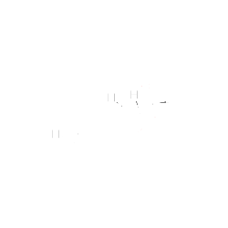 O=C(O)OC1C[C@@H]2CO[C@@H]3OC1C[C@H]23